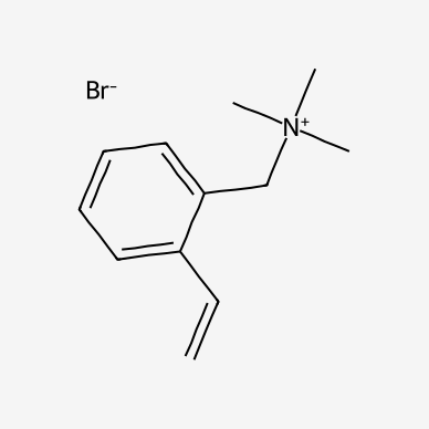 C=Cc1ccccc1C[N+](C)(C)C.[Br-]